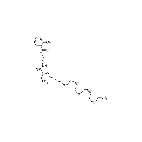 CC/C=C\C/C=C\C/C=C\C/C=C\C/C=C\CCCCSC(CC)C(=O)NCCOC(=O)c1ccccc1O